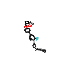 C=CC(=O)Oc1ccc(-c2ccc(-c3ccc(OC)cc3)c(F)c2)cc1